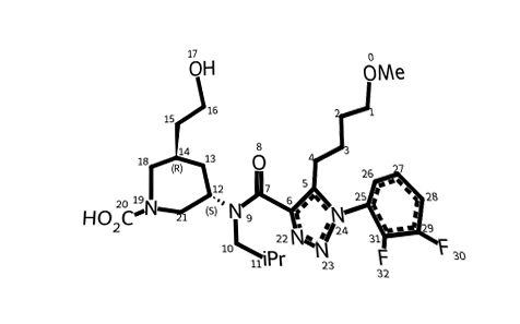 COCCCCc1c(C(=O)N(CC(C)C)[C@H]2C[C@H](CCO)CN(C(=O)O)C2)nnn1-c1cccc(F)c1F